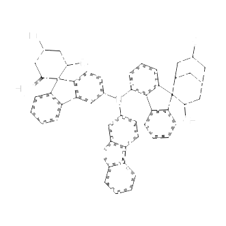 C=C1CC(CC)CC(CC)C12c1ccccc1-c1cc(N(c3ccc4c(c3)sc3ccccc34)c3cccc4c3-c3ccccc3C43C(C)CC4CC(C)CC3C4)ccc12